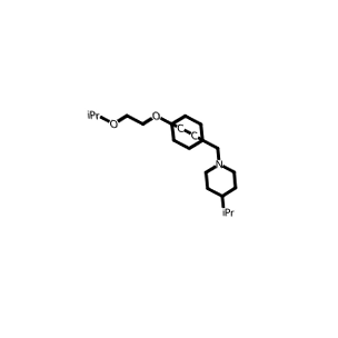 CC(C)OCCOC12CCC(CN3CCC(C(C)C)CC3)(CC1)CC2